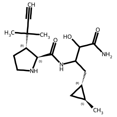 C#CC(C)(C)[C@H]1CCN[C@@H]1C(=O)NC(C[C@H]1C[C@@H]1C)C(O)C(N)=O